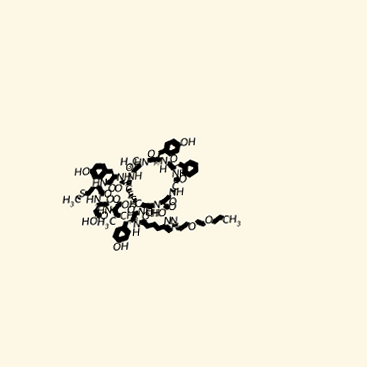 CCCOCCOCCn1cc(CCCC(=O)N[C@H](Cc2ccc(O)cc2)C(=O)N[C@@H]2CSSC[C@H](C(=O)N[C@H](Cc3ccc(O)cc3)C(=O)N[C@H](CCSC)C(=O)N[C@H](CC(=O)O)C(=O)N[C@@H](C(=O)O)C(C)C)NC(=O)[C@@H](C)NC(=O)[C@@H](Cc3ccc(O)cc3)NC(=O)[C@H](Cc3ccccc3)NC(=O)CNC(=O)[C@@H](C(=O)O)NC2=O)nn1